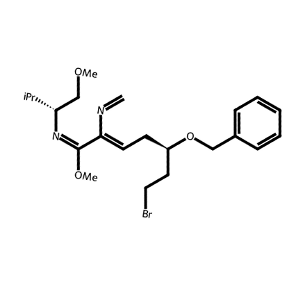 C=NC(=C\C[C@H](CCBr)OCc1ccccc1)/C(=N\[C@@H](COC)C(C)C)OC